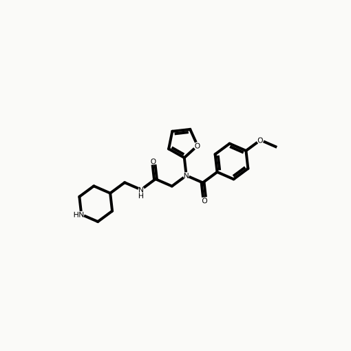 COc1ccc(C(=O)N(CC(=O)NCC2CCNCC2)c2ccco2)cc1